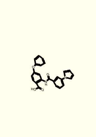 O=C(Nc1cc(Oc2ccccc2)ccc1C(=O)O)c1cccc(-n2cccc2)c1